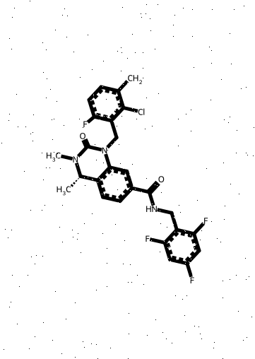 [CH2]c1ccc(F)c(CN2C(=O)N(C)[C@@H](C)c3ccc(C(=O)NCc4c(F)cc(F)cc4F)cc32)c1Cl